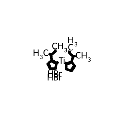 Br.Br.CCC(C)C1=[C]([Ti][C]2=C(C(C)CC)C=CC2)CC=C1